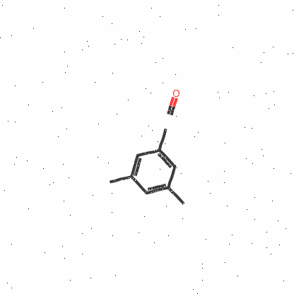 C=O.Cc1cc(C)cc(C)c1